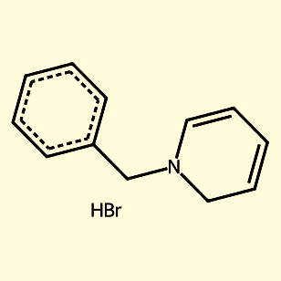 Br.C1=CCN(Cc2ccccc2)C=C1